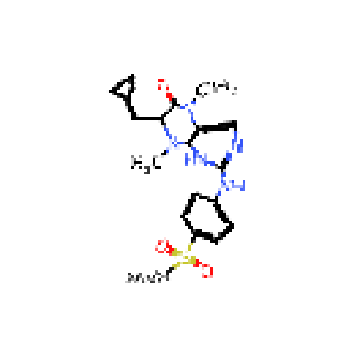 CNS(=O)(=O)c1ccc(NC2=NC=C3C(N2)N(C)C(CC2CC2)C(=O)N3C)cc1